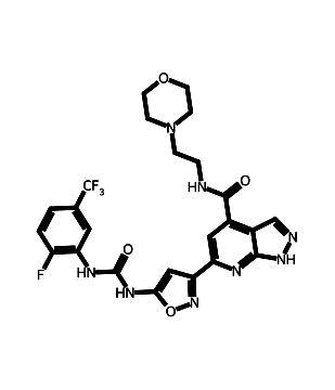 O=C(Nc1cc(-c2cc(C(=O)NCCN3CCOCC3)c3cn[nH]c3n2)no1)Nc1cc(C(F)(F)F)ccc1F